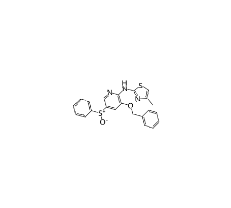 Cc1csc(Nc2ncc([S+]([O-])c3ccccc3)cc2OCc2ccccc2)n1